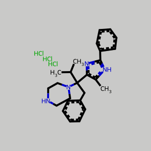 Cc1[nH]c(-c2ccccc2)nc1C(Cc1ccccc1)(C(C)C)N1CCNCC1.Cl.Cl.Cl